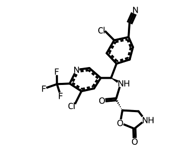 N#Cc1ccc([C@@H](NC(=O)[C@@H]2CNC(=O)O2)c2cnc(C(F)(F)F)c(Cl)c2)cc1Cl